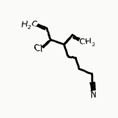 C=CC(Cl)C(C=C)CCCCC#N